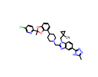 Cc1nnc(-c2ccc3c(c2)nc(CN2CCC(c4cccc5c4OC(C)(c4ccc(Cl)cn4)O5)CC2)n3CC2(C#N)CC2)[nH]1